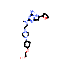 CN(CCN1CCN(c2ccc(OCCO)cc2)CC1)c1nc(N)n2nc(-c3ccco3)cc2n1